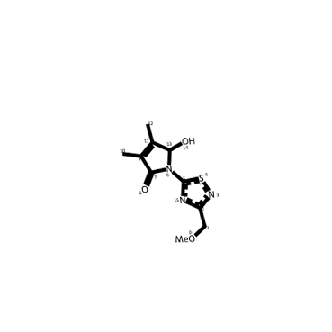 COCc1nsc(N2C(=O)C(C)=C(C)C2O)n1